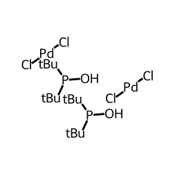 CC(C)(C)P(O)C(C)(C)C.CC(C)(C)P(O)C(C)(C)C.[Cl][Pd][Cl].[Cl][Pd][Cl]